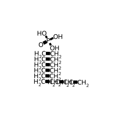 C=C.C=C.C=C.C=C.C=C.C=C.C=C.C=C.O=P(O)(O)O